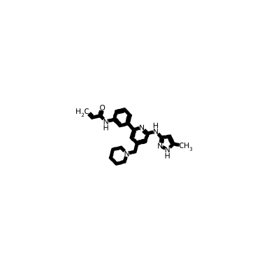 C=CC(=O)Nc1cccc(-c2cc(CN3CCCCC3)cc(Nc3cc(C)[nH]n3)n2)c1